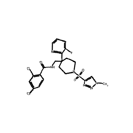 Cn1cc(S(=O)(=O)N2CCC(CNC(=O)c3ccc(Cl)cc3Cl)(c3ncccc3F)CC2)nn1